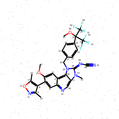 COc1cc2c(cc1-c1c(C)noc1C)ncc1c2n(Cc2ccc(C(OC)(C(F)(F)F)C(F)(F)F)cc2)c(=NC#N)n1C